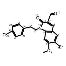 COc1cc2c(cc1Br)cc(C=O)c(=O)n2CCc1ccc(Cl)cc1